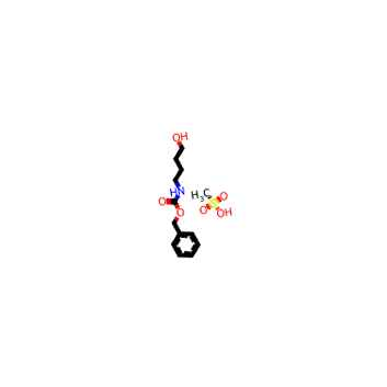 CS(=O)(=O)O.O=C(NCCCCO)OCc1ccccc1